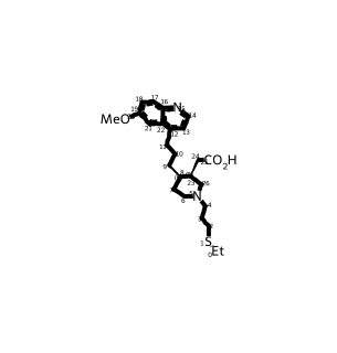 CCSCCCN1CC[C@@H](CCCc2ccnc3ccc(OC)cc23)[C@@H](CC(=O)O)C1